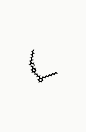 CCCCCCCCCCC1CCCCC1CCCOc1ccc(-c2ncc(CCCCCCCC)cn2)cc1